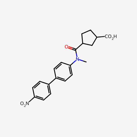 CN(C(=O)C1CCC(C(=O)O)C1)c1ccc(-c2ccc([N+](=O)[O-])cc2)cc1